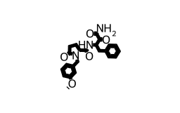 COc1cccc(CN2C(=O)CCC2C(=O)NC(Cc2ccccc2)C(=O)C(N)=O)c1